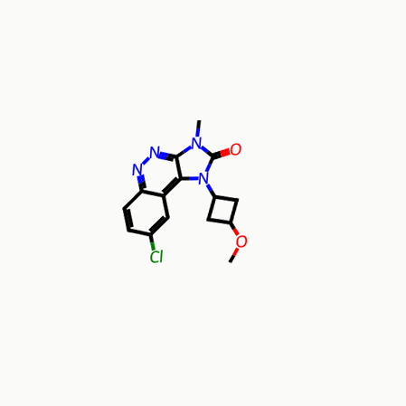 COC1CC(n2c(=O)n(C)c3nnc4ccc(Cl)cc4c32)C1